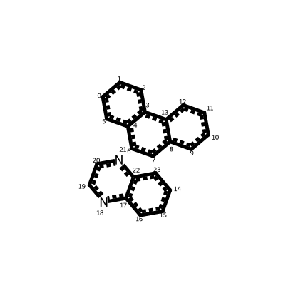 c1ccc2c(c1)ccc1ccccc12.c1ccc2nccnc2c1